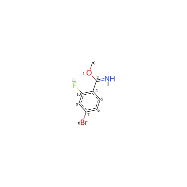 COC(=N)c1ccc(Br)cc1F